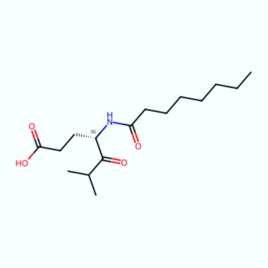 CCCCCCCC(=O)N[C@@H](CCC(=O)O)C(=O)C(C)C